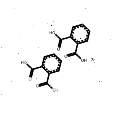 O=C(O)c1ccccc1C(=O)O.O=C(O)c1ccccc1C(=O)O.[Zr]